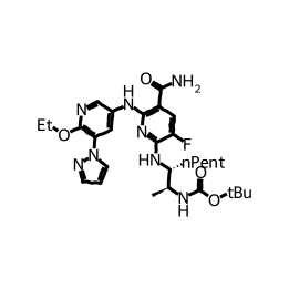 CCCCC[C@@H](Nc1nc(Nc2cnc(OCC)c(-n3cccn3)c2)c(C(N)=O)cc1F)[C@H](C)NC(=O)OC(C)(C)C